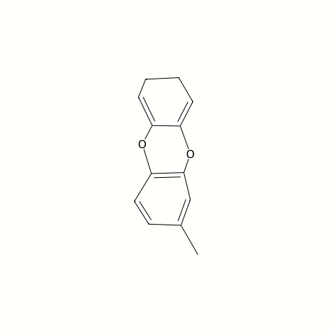 Cc1ccc2c(c1)OC1=CCCC=C1O2